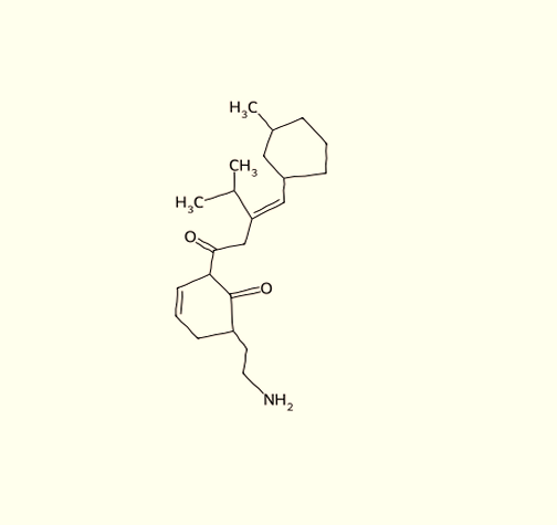 CC1CCCC(C=C(CC(=O)C2C=CCC(CCN)C2=O)C(C)C)C1